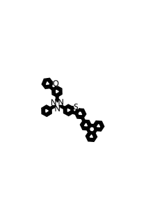 c1ccc(-c2nc(-c3ccc4c(c3)sc3ccc(-c5ccc6c7ccccc7c7ccccc7c6c5)cc34)nc(-c3ccc4oc5ccccc5c4c3)n2)cc1